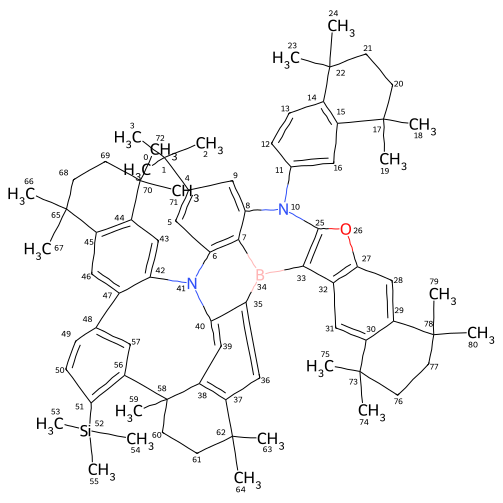 CC(C)(C)c1cc2c3c(c1)N(c1ccc4c(c1)C(C)(C)CCC4(C)C)c1oc4cc5c(cc4c1B3c1cc3c4cc1N2c1cc2c(cc1-c1ccc([Si](C)(C)C)c(c1)C4(C)CCC3(C)C)C(C)(C)CCC2(C)C)C(C)(C)CCC5(C)C